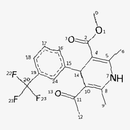 COC(=O)C1=C(C)NC(C)=C(C(C)=O)C1c1cccc(C(F)(F)F)c1